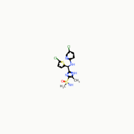 Cc1[nH]c(C(Nc2ccc(Cl)cn2)c2ccc(Cl)s2)nc1S(C)(=N)=O